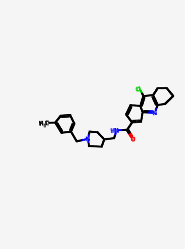 Cc1cccc(CN2CCC(CNC(=O)c3ccc4c(Cl)c5c(nc4c3)CCCC5)CC2)c1